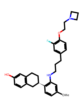 COc1ccc([C@H]2CCc3cc(O)ccc3C2)c(NCCCc2ccc(OCCN3CCC3)c(F)c2)c1